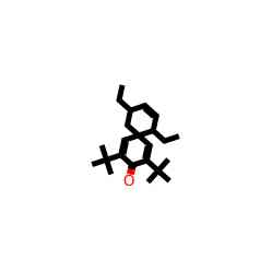 CCC1C=CC(CC)C2(C=C(C(C)(C)C)C(=O)C(C(C)(C)C)=C2)C1